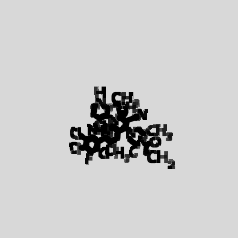 C=CC(=O)N1[C@H](C)CN(c2c(C#N)c(=O)n(C3=C(C)C=CN[C@@H]3C(C)C)c3nc(-c4c(N)c(Cl)c(Cl)c(F)c4Cl)c(Cl)cc23)C[C@@H]1C